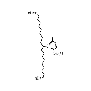 CCCCCCCCCCCCCCCCCC[CH]([Sn])CCCCCCCCCCCCCCCCCC.Cc1ccc(S(=O)(=O)O)cc1